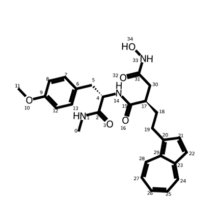 CNC(=O)[C@H](Cc1ccc(OC)cc1)NC(=O)[C@H](CCc1ccc2cccccc1-2)CC(=O)NO